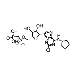 O=P(O)(O)CP(=O)(O)OC[C@H]1O[C@@H](c2cnc3c(NC4CCCC4)nc(Cl)nn23)[C@H](O)[C@@H]1O